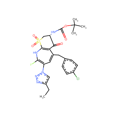 CCc1cn(C2=C(F)NC3=C(C(=O)[C@@H](NC(=O)OC(C)(C)C)CS3(=O)=O)C(Cc3ccc(Cl)cc3)=C2)nn1